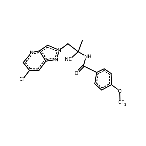 CC(C#N)(Cn1cc2ncc(Cl)cc2n1)NC(=O)c1ccc(OC(F)(F)F)cc1